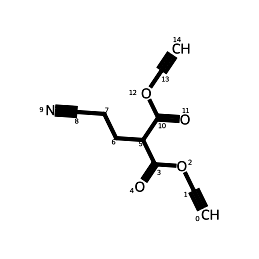 C#COC(=O)C(CCC#N)C(=O)OC#C